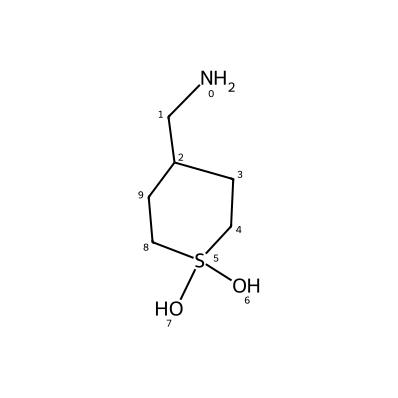 NCC1CCS(O)(O)CC1